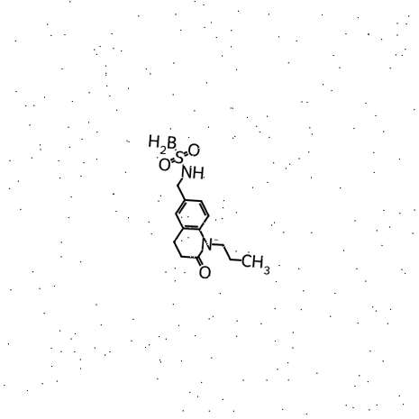 BS(=O)(=O)NCc1ccc2c(c1)CCC(=O)N2CCC